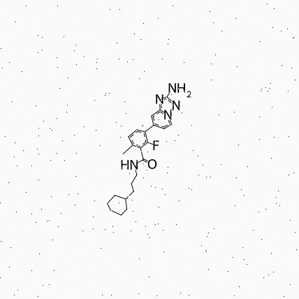 Cc1ccc(-c2ccn3nc(N)nc3c2)c(F)c1C(=O)NCCCC1CCCCC1